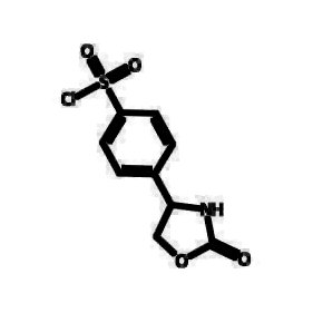 O=C1NC(c2ccc(S(=O)(=O)Cl)cc2)CO1